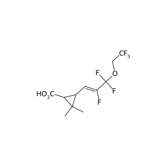 CC1(C)C(C=C(F)C(F)(F)OCC(F)(F)F)C1C(=O)O